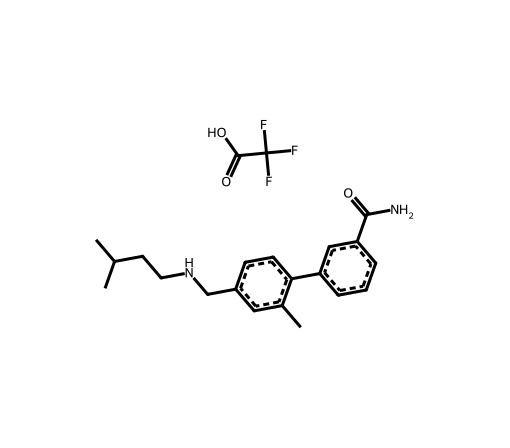 Cc1cc(CNCCC(C)C)ccc1-c1cccc(C(N)=O)c1.O=C(O)C(F)(F)F